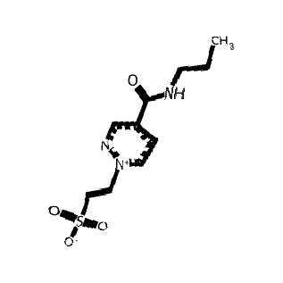 CCCNC(=O)c1cc[n+](CCS(=O)(=O)[O-])nc1